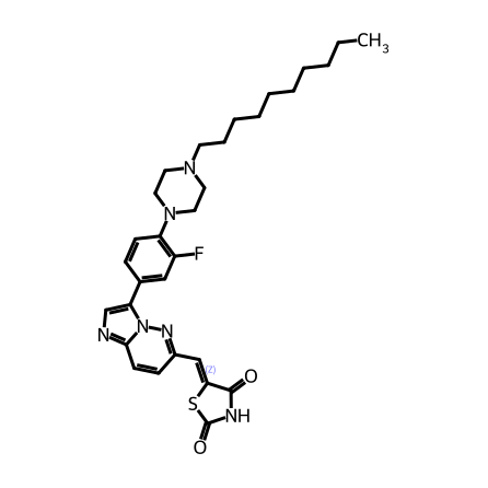 CCCCCCCCCCN1CCN(c2ccc(-c3cnc4ccc(/C=C5\SC(=O)NC5=O)nn34)cc2F)CC1